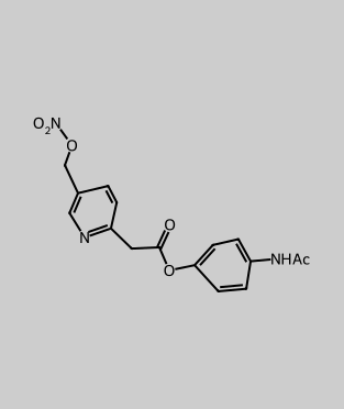 CC(=O)Nc1ccc(OC(=O)Cc2ccc(CO[N+](=O)[O-])cn2)cc1